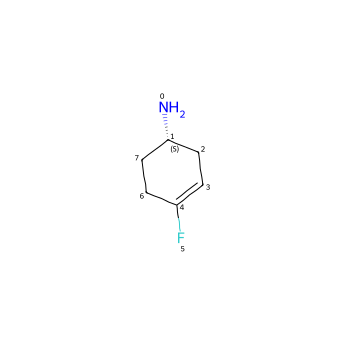 N[C@@H]1CC=C(F)CC1